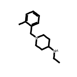 CCNC1CCN(Cc2ccccc2C)CC1